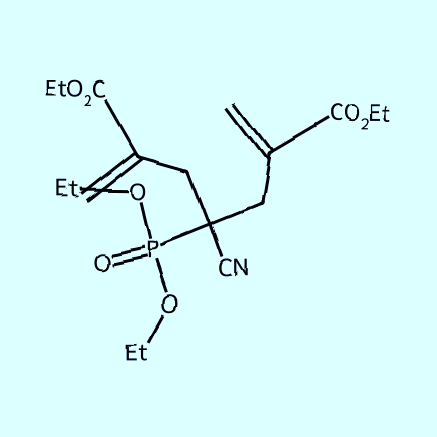 C=C(CC(C#N)(CC(=C)C(=O)OCC)P(=O)(OCC)OCC)C(=O)OCC